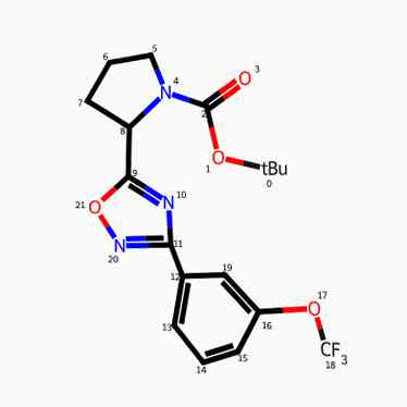 CC(C)(C)OC(=O)N1CCCC1c1nc(-c2cccc(OC(F)(F)F)c2)no1